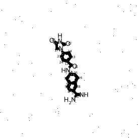 N=C(N)c1ccc2cc(NC(=O)c3ccc(N4CC(=O)NC4=O)cc3)ccc2c1